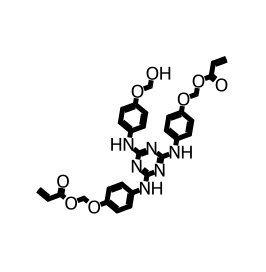 C=CC(=O)OCOc1ccc(Nc2nc(Nc3ccc(OCO)cc3)nc(Nc3ccc(OCOC(=O)C=C)cc3)n2)cc1